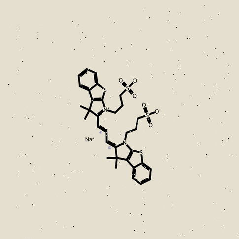 CC1(C)C(/C=C/C=C2\N(CCCS(=O)(=O)[O-])c3sc4ccccc4c3C2(C)C)=[N+](CCCS(=O)(=O)[O-])c2sc3ccccc3c21.[Na+]